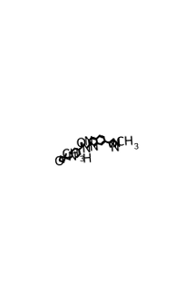 Cn1cc(-c2ccc3cnc(NC(=O)C4CCN(CC5(C)COC5)CC4)nc3c2)cn1